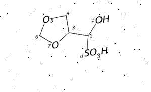 O=S(=O)(O)C(O)C1COCO1